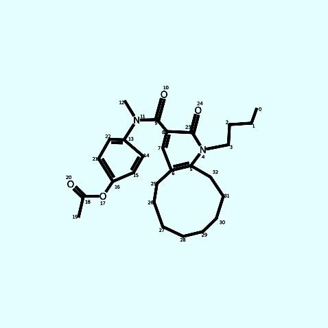 CCCCn1c2c(cc(C(=O)N(C)c3ccc(OC(C)=O)cc3)c1=O)CCCCCCCC2